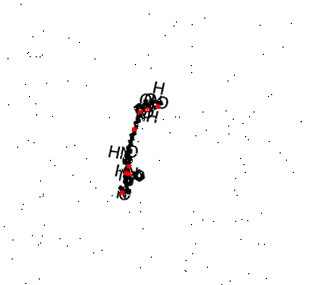 Cc1noc(C)c1-c1ccn2c(NC3CCCCC3)c(CCc3ccc(NC(=O)CCCCCCCCCCCNc4cccc5c4C(=O)N(C4CCC(=O)NC4=O)C5=O)cc3)nc2c1